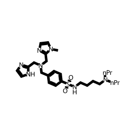 CCCN(CCC)CCCCNS(=O)(=O)c1ccc(CN(Cc2ncc[nH]2)Cc2nccn2C)cc1